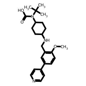 COc1ccc(-c2ccncc2)cc1CNC1CCC(N(C(=O)O)C(C)(C)C)CC1